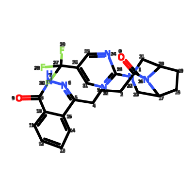 O=C(CCCc1n[nH]c(=O)c2ccccc12)N1C2CCC1CN(c1ncc(C(F)(F)F)cn1)C2